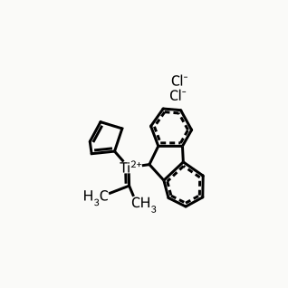 C[C](C)=[Ti+2]([C]1=CC=CC1)[CH]1c2ccccc2-c2ccccc21.[Cl-].[Cl-]